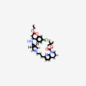 CCOC(=O)CC(NC1[C@H]2CN(CCCc3ccc4c(n3)N(C(=O)OC(C)(C)C)CCC4)C[C@@H]12)c1ccc(Cl)cc1